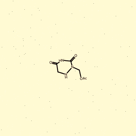 CC(=O)OCN1NCC(=O)NC1=O